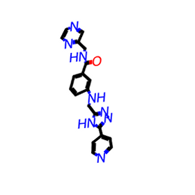 O=C(NCc1cnccn1)c1cccc(NCc2nnc(-c3ccncc3)[nH]2)c1